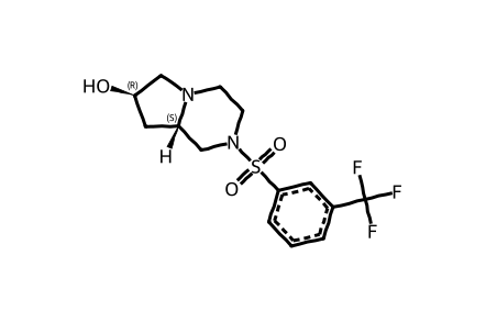 O=S(=O)(c1cccc(C(F)(F)F)c1)N1CCN2C[C@H](O)C[C@H]2C1